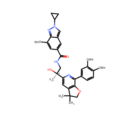 COc1ccc(-c2nc([C@@](O)(CNC(=O)c3cc(OC)c4nn(C5CC5)cc4c3)C(F)(F)F)cc3c2OCC3(C)C)cc1OC